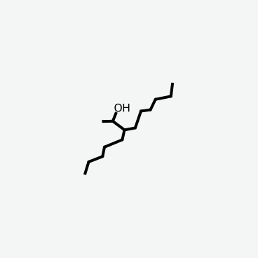 CCCCCCC(CCCCC)C(C)O